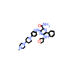 CN1CCN(C2CCN(c3ccc(Nc4nc(N[C@@H]5CCOC5)c(-c5ccccc5)nc4C(N)=O)cc3)CC2)CC1